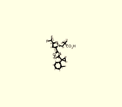 Cc1ccccc1C1(c2noc(-c3cc(C(F)F)nn3CC(C)(C)C(=O)O)n2)CC1